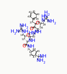 N=C(N)c1ccc(CNC(=O)[C@H](CCCNC(N)N)NC(=O)CNN[C@@H](CCCNC(N)N)C(=O)C(=O)Cc2ccccc2)cc1